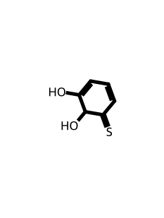 OC1=CC=CC(=S)C1O